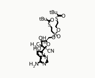 CC(C)(C)C(=O)SCCOP(=O)(CCSC(=O)C(C)(C)C)OC[C@H]1O[C@@](C#N)(c2ccc3c(N)ncnn23)[C@](C)(O)[C@@H]1O